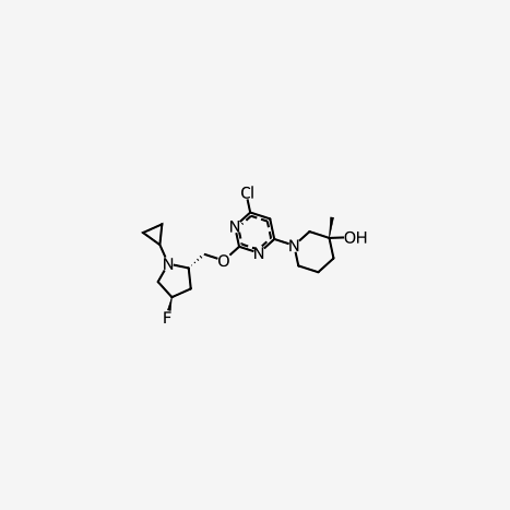 C[C@@]1(O)CCCN(c2cc(Cl)nc(OC[C@@H]3C[C@@H](F)CN3C3CC3)n2)C1